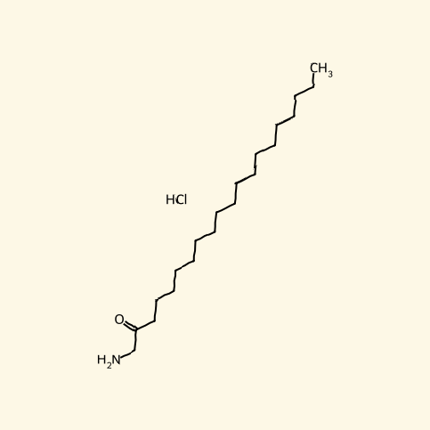 CCCCCCCCCCCCCCCCCCC(=O)CN.Cl